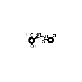 Cc1ccc(C)c(-c2nnc(NC(=O)c3cccc(Cl)c3)o2)c1